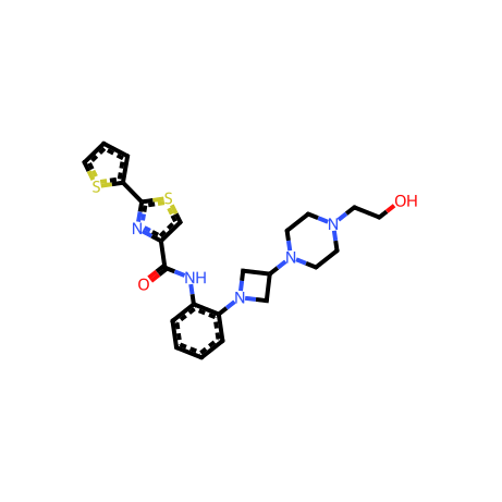 O=C(Nc1ccccc1N1CC(N2CCN(CCO)CC2)C1)c1csc(-c2cccs2)n1